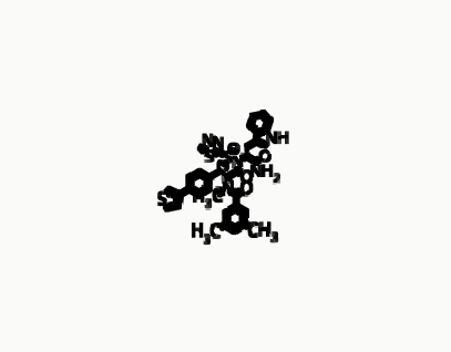 Cc1cc(C)cc(C(=O)N(C)[C@@H](Cc2ccc(-c3ccsc3)cc2)C(=O)N([C@@H](Cc2c[nH]c3ccccc23)C(N)=O)S(=O)(=O)c2nncs2)c1